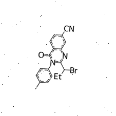 CCC(Br)c1nc2cc(C#N)ccc2c(=O)n1-c1ccc(C)cc1